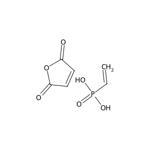 C=CP(=O)(O)O.O=C1C=CC(=O)O1